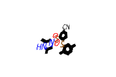 Cc1ccc(C)c(Sc2ccc(C#N)cc2S(=O)(=O)N2CC(C)NC(C)C2)c1